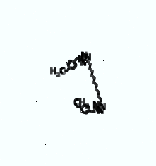 C=Cc1ccc(Cn2nnc(CCCCCCCCCCCc3nnn(Cc4ccc(C=C)cc4)n3)n2)cc1